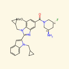 COc1cc(C(=O)N2C[C@H](N)C[C@@H](F)C2)cc2nc(-c3cc4ccccc4n3CC3CC3)n(CC3CC3)c12